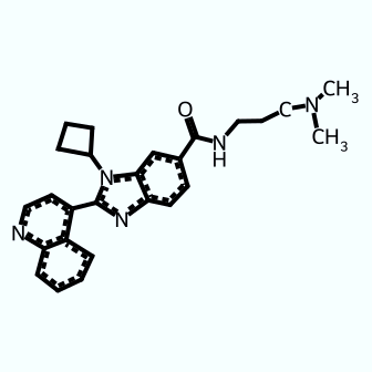 CN(C)CCCNC(=O)c1ccc2nc(-c3ccnc4ccccc34)n(C3CCC3)c2c1